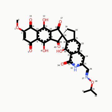 COC1=CC(=O)c2c(O)c3c(c(O)c2C1=O)C(=O)[C@]1(CCc2cc4cc(/C=N/OC(C)C)[nH]c(=O)c4c(O)c21)C3=O